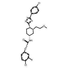 COCCN1C[C@H](NC(=O)COc2ccc(Cl)c(F)c2)CC[C@H]1c1nnc(-c2ccc(Cl)cc2)o1